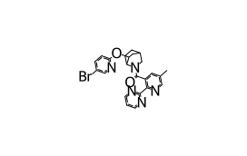 Cc1cnc(-c2ncccn2)c(C(=O)N2CC3CCC2C(Oc2ccc(Br)cn2)C3)c1